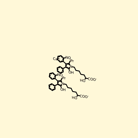 CC(C)c1c(-c2ccccc2N=O)c(-c2ccccc2)c(O)n1CCCCCC(O)C(=O)[O-].CC(C)c1c(-c2ccccc2N=O)c(-c2ccccc2)c(O)n1CCCCCC(O)C(=O)[O-].[Ca+2]